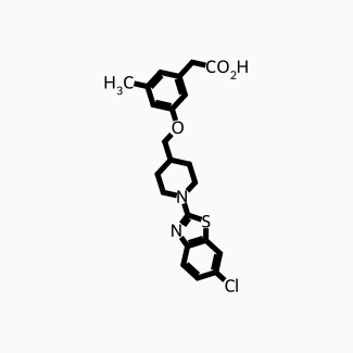 Cc1cc(CC(=O)O)cc(OCC2CCN(c3nc4ccc(Cl)cc4s3)CC2)c1